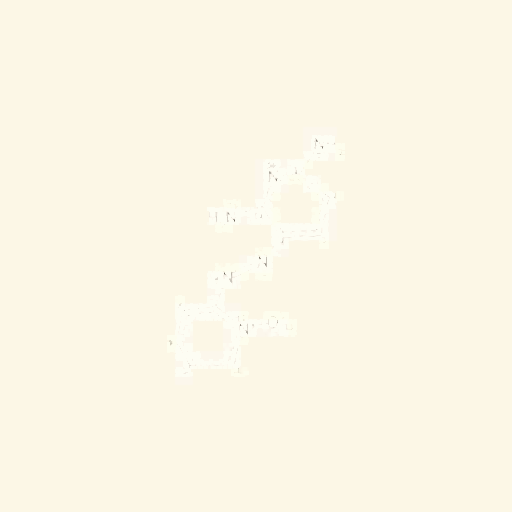 Nc1ccc(N=Nc2cccc[n+]2[O-])c(N)n1